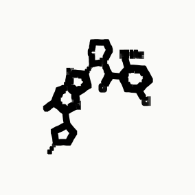 CC(=O)Nc1ccc(Cl)cc1C(=O)N1CCCC[C@H]1c1cc2nc(C3CC[C@H](C)C3)c(C)cn2n1